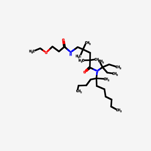 CCCCCCC(C)(CCCC)N(C(=O)C(C)(C)CC(C)(C)CNC(=O)CCOCC)C(C)(CC)CC